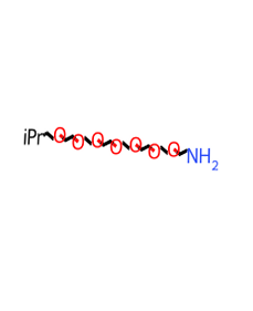 CC(C)CCOCCOCCOCCOCCOCCOCCOCCN